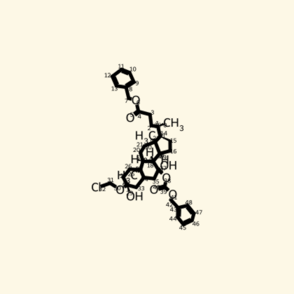 C[C@H](CCC(=O)OCc1ccccc1)[C@H]1CC[C@H]2[C@H]3[C@H](CC[C@]12C)[C@@]1(C)CC[C@@](O)(OCCl)CC1C[C@@]3(O)OC(=O)OCc1ccccc1